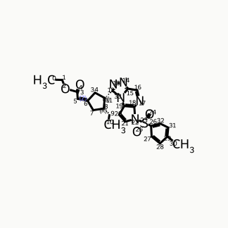 CCOC(=O)/C=C1/C[C@@H](CC)[C@@H](c2nnc3cnc4c(ccn4S(=O)(=O)c4ccc(C)cc4)n23)C1